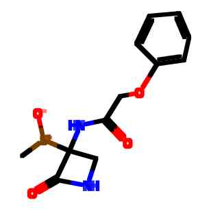 C[S+]([O-])C1(NC(=O)COc2ccccc2)CNC1=O